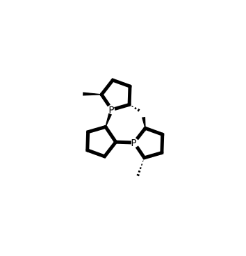 C[C@H]1CC[C@H](C)P1C1CCC[C@H]1P1[C@@H](C)CC[C@@H]1C